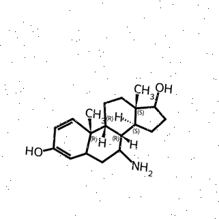 C[C@]12C=CC(O)=CC1CC(N)[C@@H]1[C@H]2CC[C@]2(C)C(O)CC[C@@H]12